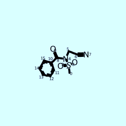 CS(=O)(=O)N(CC#N)C(=O)c1ccccc1